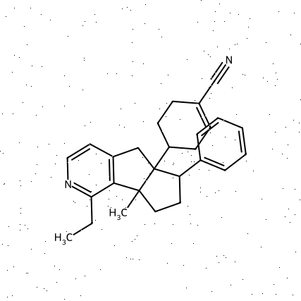 CCc1nccc2c1C1(C)CCC(c3ccccc3)C1(C1CC=C(C#N)CC1)C2